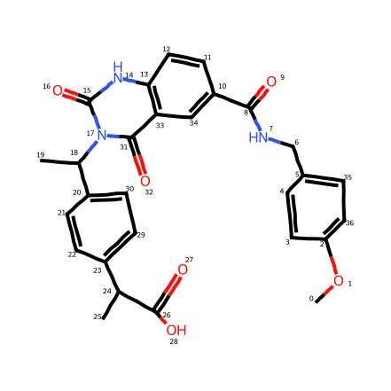 COc1ccc(CNC(=O)c2ccc3[nH]c(=O)n(C(C)c4ccc(C(C)C(=O)O)cc4)c(=O)c3c2)cc1